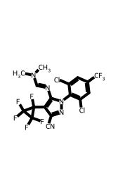 CN(C)C=Nc1c(C2(F)C(F)(F)C2(F)F)c(C#N)nn1-c1c(Cl)cc(C(F)(F)F)cc1Cl